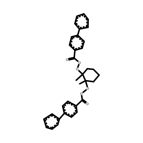 [CH2]C1(OOC(=O)c2ccc(-c3ccccc3)cc2)CCCCC1([CH2])OOC(=O)c1ccc(-c2ccccc2)cc1